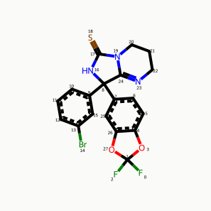 FC1(F)Oc2ccc(C3(c4cccc(Br)c4)NC(=S)N4CCCN=C43)cc2O1